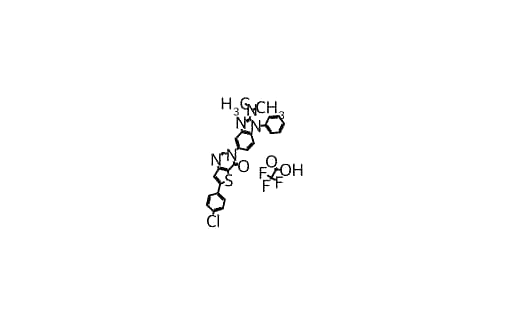 CN(C)c1nc2cc(-n3cnc4cc(-c5ccc(Cl)cc5)sc4c3=O)ccc2n1-c1ccccc1.O=C(O)C(F)(F)F